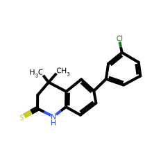 CC1(C)CC(=S)Nc2ccc(-c3cccc(Cl)c3)cc21